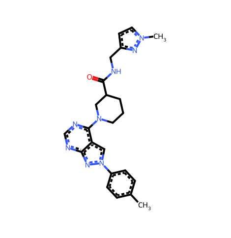 Cc1ccc(-n2cc3c(N4CCCC(C(=O)NCc5ccn(C)n5)C4)ncnc3n2)cc1